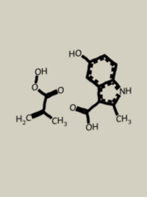 C=C(C)C(=O)OO.Cc1[nH]c2ccc(O)cc2c1C(=O)O